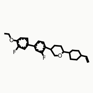 C=CC1CCC(C2CCC(c3ccc(-c4ccc(OCC)c(F)c4)cc3F)CO2)CC1